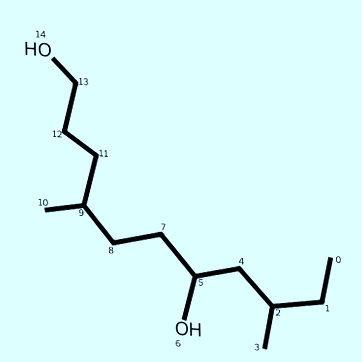 CCC(C)CC(O)CCC(C)CCCO